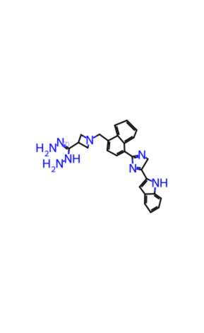 N/N=C(\NN)C1CN(Cc2ccc(C3=NCC(c4cc5ccccc5[nH]4)=N3)c3ccccc23)C1